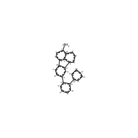 Bc1ccc2c3c(cccc13)-c1cc(-c3ccccc3-c3ccccc3)ccc1-2